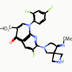 CON=C1CN(c2nc3c(cc2F)c(=O)c(C(=O)O)cn3-c2ccc(F)cc2F)CC12CNC2